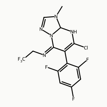 CN1C=NN2C(=NCC(F)(F)F)C(c3c(F)cc(F)cc3F)=C(Cl)NC12